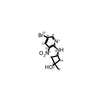 CC1(O)CC(Nc2ncc(Br)cc2[N+](=O)[O-])C1